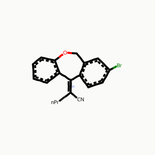 CCC/C(C#N)=C1/c2ccc(Br)cc2COc2ccccc21